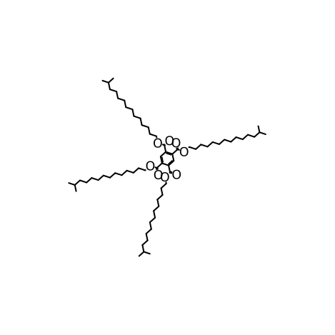 CC(C)CCCCCCCCCCCCOC(=O)c1cc(C(=O)OCCCCCCCCCCCCC(C)C)c(C(=O)OCCCCCCCCCCCCC(C)C)cc1C(=O)OCCCCCCCCCCCCC(C)C